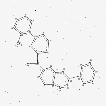 O=C(c1cccc(-c2ccccc2C(F)(F)F)c1)c1ccc2ncc(-c3cccnc3)nc2c1